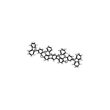 c1ccc2c(c1)B1c3ccc(-n4c5ccccc5c5ccccc54)cc3Oc3ccc4c5cc6c7ccc8c9c7n(c6cc5n-2c4c31)-c1ccccc1B9c1ccc(-n2c3ccccc3c3ccccc32)cc1O8